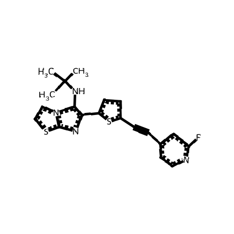 CC(C)(C)Nc1c(-c2ccc(C#Cc3ccnc(F)c3)s2)nc2sccn12